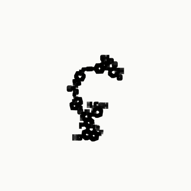 CCc1c(F)ccc2cc(O)cc(-c3ncc4c(N5CCC[C@@](C)(O)C5)nc(OC[C@@]56CCCN5[C@H](COC(=O)N5CC7(CCN(CC#Cc8ccc9c(c8)n(C)c(=O)n9C8CCC(=O)NC8=O)CC7)C5)CC6)nc4c3F)c12